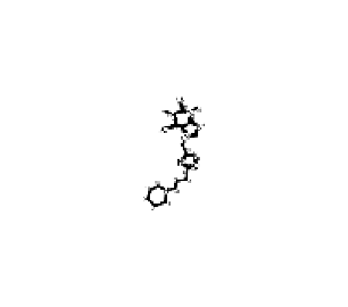 Cn1c(=O)c2c(ncn2Cc2noc(CCCN3CCCCC3)n2)n(C)c1=O